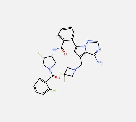 Nc1ncnn2c(-c3ccccc3C(=O)N[C@@H]3CN(C(=O)c4ccccc4F)C[C@@H]3F)cc(CN3CC(F)(F)C3)c12